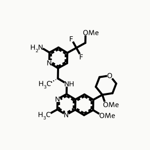 COCC(F)(F)c1cc(N)nc([C@@H](C)Nc2nc(C)nc3cc(OC)c(C4(OC)CCOCC4)cc23)c1